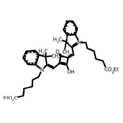 CCOC(=O)CCCCCN1/C(=C/C2=C(O)C(=C/C3=[N+](CCCCCC(=O)OCC)c4ccccc4C3(C)C)/C2=O)C(C)(C)c2ccccc21